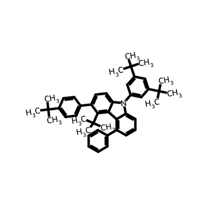 CC(C)(C)c1ccc(-c2ccc3c(c2C(C)(C)C)c2c(-c4ccccc4)cccc2n3-c2cc(C(C)(C)C)cc(C(C)(C)C)c2)cc1